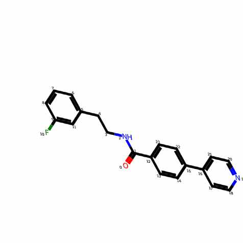 O=C(NCCc1cccc(F)c1)c1ccc(-c2ccncc2)cc1